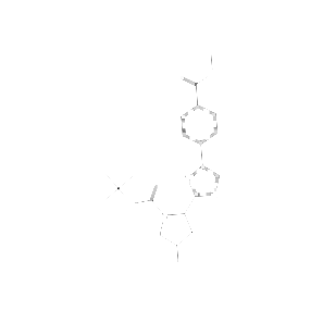 COC(=O)c1ccc(-c2csc(C3CC(F)CN3C(=O)OC(C)(C)C)n2)cc1